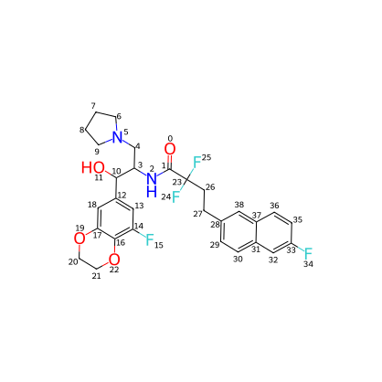 O=C(NC(CN1CCCC1)C(O)c1cc(F)c2c(c1)OCCO2)C(F)(F)CCc1ccc2cc(F)ccc2c1